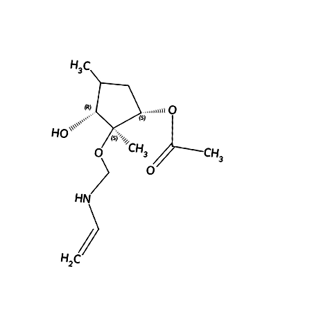 C=CNCO[C@]1(C)[C@@H](OC(C)=O)CC(C)[C@H]1O